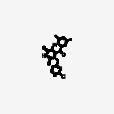 Cc1cc(C)cc(C(=O)c2c(C(C)C)c(=O)[nH]c(=O)n2Cc2ccnc(Cl)n2)c1